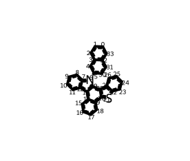 c1ccc2cc(-n3c4ccccc4c4c5ccccc5c5sc6ccccc6c5c43)ccc2c1